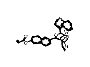 C=CC(=O)Oc1ccc2cc(C(=C)OC(c3ccnc4ccccc34)[C@@H]3CC4CCN3C[C@@H]4C=C)ccc2c1